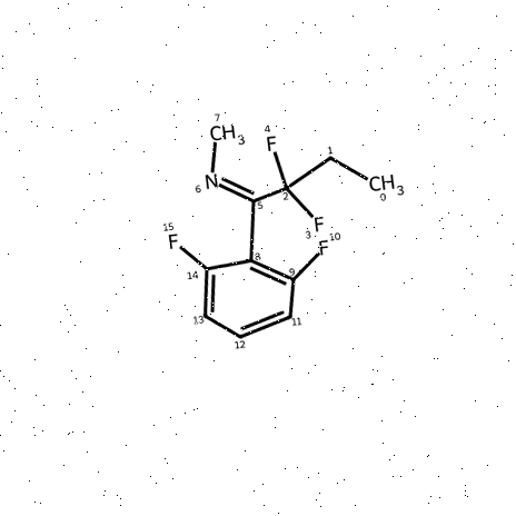 CCC(F)(F)/C(=N\C)c1c(F)cccc1F